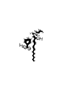 CCCCCCCCCCC(O)C[N+](C)(C)CCCC.O=C(O)c1ccccc1